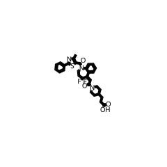 Cc1nc(-c2ccccc2)sc1C(=O)N1CCC(F)(F)C(=CC(=O)N2CCC(CCC(=O)O)CC2)c2ccccc21